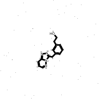 OCCc1cccc(Cc2nnc3cccnn23)c1